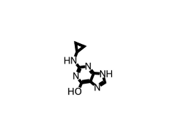 Oc1nc(NC2CC2)nc2[nH]cnc12